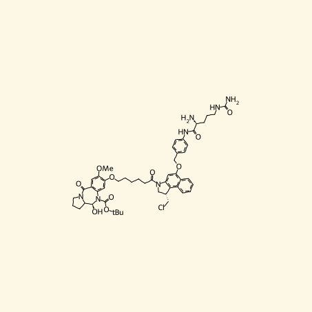 COc1cc2c(cc1OCCCCCC(=O)N1C[C@@H](CCl)c3c1cc(OCc1ccc(NC(=O)[C@@H](N)CCCNC(N)=O)cc1)c1ccccc31)N(C(=O)OC(C)(C)C)[C@@H](O)C1CCCN1C2=O